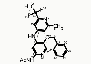 CC(=O)Nc1cc(Nc2cc(C)nc(C(C)(F)F)c2)c(OCc2ccccc2)cn1